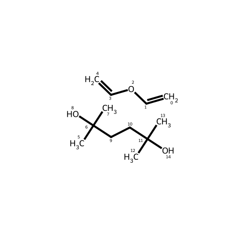 C=COC=C.CC(C)(O)CCC(C)(C)O